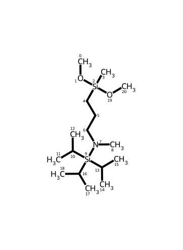 CO[Si](C)(CCCN(C)[Si](C(C)C)(C(C)C)C(C)C)OC